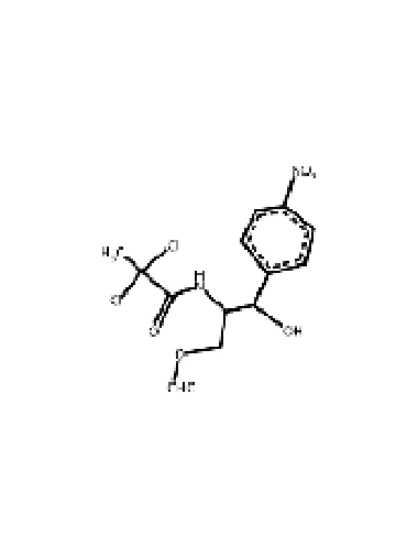 CC(Cl)(Cl)C(=O)NC(COC=O)C(O)c1ccc([N+](=O)[O-])cc1